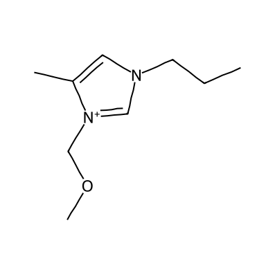 CCCn1cc(C)[n+](COC)c1